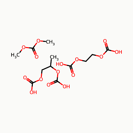 CC(COC(=O)O)OC(=O)O.COC(=O)OC.O=C(O)OCCOC(=O)O